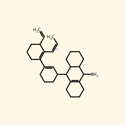 BC1C2=C(CCCC2)C(C2C=C(C3=C(/C=C\C)C(C=C)CCC3)CCC2)C2CCCCC12